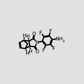 Nc1c(F)c(F)c(N2C(=O)[C@@H]3[C@H](C2=O)[C@@H]2C=C[C@H]3C2)c(F)c1F